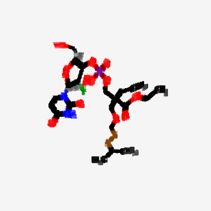 CCOC(=O)C(CC)(COCSSC(C)C)COP(=O)(O)OC1[C@@H](CO)O[C@@H](n2ccc(=O)[nH]c2=O)[C@H]1F